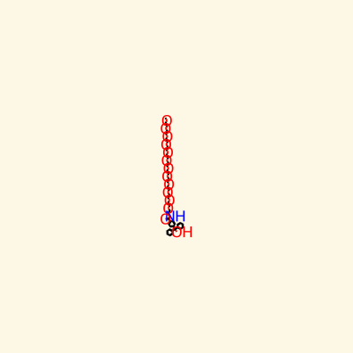 COCCOCCOCCOCCOCCOCCOCCOCCOCCOCCOCCOCCNC(=O)c1ccc(C(O)(c2ccccc2)c2ccccc2)cc1